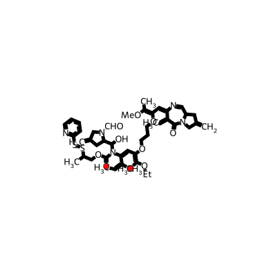 C=C1CC(C(O)N(C(=O)OCC(C)SSc2ccccn2)C(=C/C(OCCCOC(/C=C2/N=CC3CC(=C)CN3C(=O)/C2=C/C)=C(/C)OC)=C(\C)OCC)/C(C)=C\C)N(C=O)C1